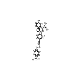 CC(C)N1CCN(CCC#Cc2ccc(C(CCN(C)C)Oc3ccccc3)cc2)CC1